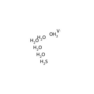 O.O.O.O.O.S.[V]